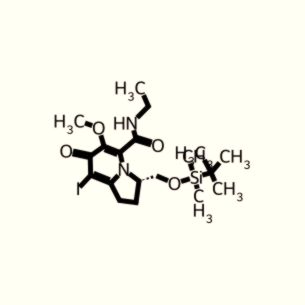 CCNC(=O)c1c(OC)c(=O)c(I)c2n1[C@H](CO[Si](C)(C)C(C)(C)C)CC2